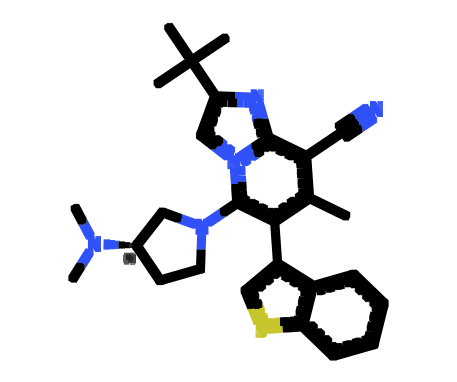 Cc1c(-c2csc3ccccc23)c(N2CC[C@H](N(C)C)C2)n2cc(C(C)(C)C)nc2c1C#N